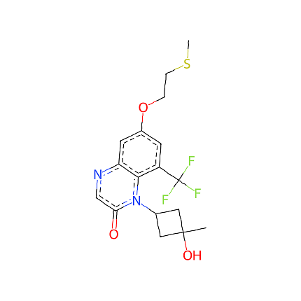 CSCCOc1cc(C(F)(F)F)c2c(c1)ncc(=O)n2C1CC(C)(O)C1